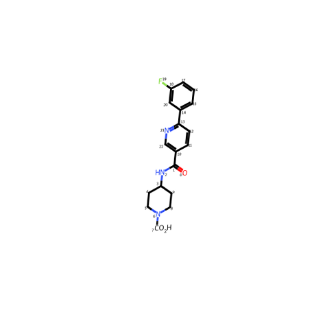 O=C(NC1CCN(C(=O)O)CC1)c1ccc(-c2cccc(F)c2)nc1